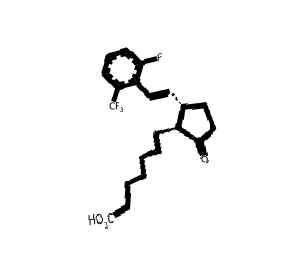 O=C(O)CCCCCC[C@@H]1C(=O)CC[C@H]1C=Cc1c(F)cccc1C(F)(F)F